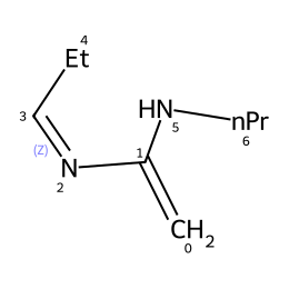 C=C(/N=C\CC)NCCC